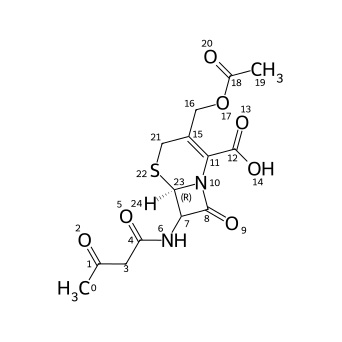 CC(=O)CC(=O)NC1C(=O)N2C(C(=O)O)=C(COC(C)=O)CS[C@H]12